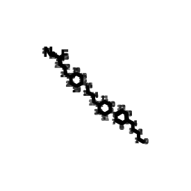 CCCCCc1ccc([C@H]2CC[C@H](CCCC[C@H]3CC[C@H](CC/C=C(\F)C#N)CC3)CC2)cc1